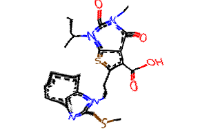 CSc1nc2ccccc2n1Cc1sc2c(c1C(=O)O)c(=O)n(C)c(=O)n2C(C)C